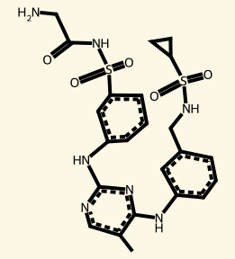 Cc1cnc(Nc2cccc(S(=O)(=O)NC(=O)CN)c2)nc1Nc1cccc(CNS(=O)(=O)C2CC2)c1